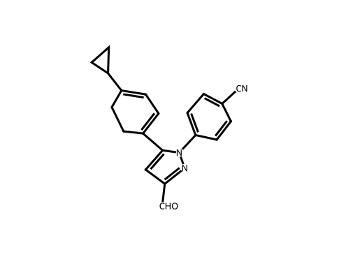 N#Cc1ccc(-n2nc(C=O)cc2C2=CC=C(C3CC3)CC2)cc1